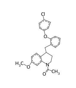 COc1ccc2c(c1)N(C(C)=O)CCC2Cc1ccccc1Oc1ccc(Cl)cc1